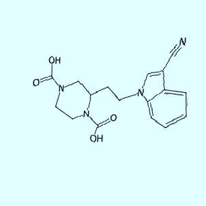 N#Cc1cn(CCC2CN(C(=O)O)CCN2C(=O)O)c2ccccc12